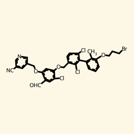 Cc1c(OCCCBr)cccc1-c1c(Cl)ccc(COc2cc(OCc3cncc(C#N)c3)c(C=O)cc2Cl)c1Cl